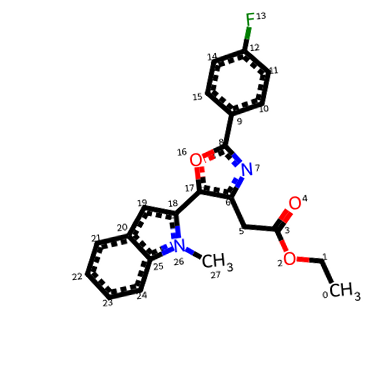 CCOC(=O)Cc1nc(-c2ccc(F)cc2)oc1-c1cc2ccccc2n1C